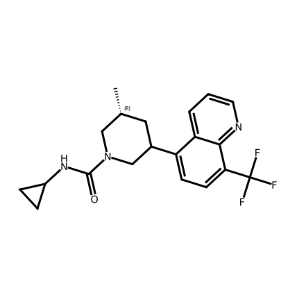 C[C@@H]1CC(c2ccc(C(F)(F)F)c3ncccc23)CN(C(=O)NC2CC2)C1